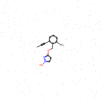 CC#Cc1cccc([N+](=O)[O-])c1COc1ccn(O)n1